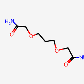 NC(=O)COCCCOCC(N)=O